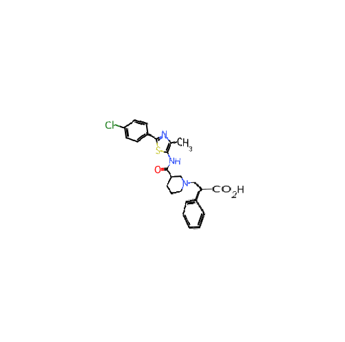 Cc1nc(-c2ccc(Cl)cc2)sc1NC(=O)C1CCCN(CC(C(=O)O)c2ccccc2)C1